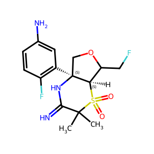 CC1(C)C(=N)N[C@@]2(c3cc(N)ccc3F)COC(CF)[C@H]2S1(=O)=O